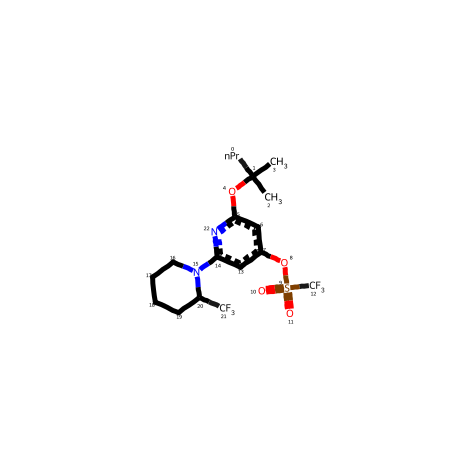 CCCC(C)(C)Oc1cc(OS(=O)(=O)C(F)(F)F)cc(N2CCCCC2C(F)(F)F)n1